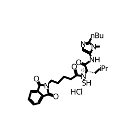 CCCCc1ncc(NC(=O)[C@H](CC(C)C)N(S)C(=O)CCCCN2C(=O)c3ccccc3C2=O)n1C.Cl